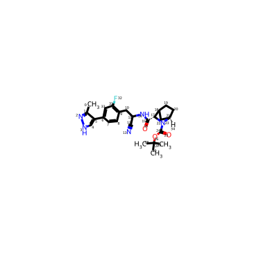 Cc1n[nH]cc1-c1ccc(CC(C#N)NC(=O)[C@@H]2C3CC[C@H](C3)N2C(=O)OC(C)(C)C)c(F)c1